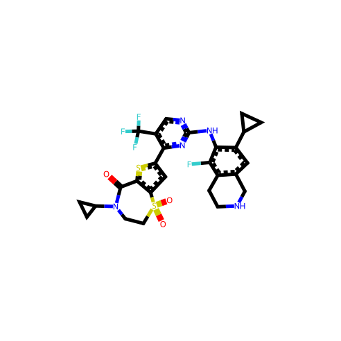 O=C1c2sc(-c3nc(Nc4c(C5CC5)cc5c(c4F)CCNC5)ncc3C(F)(F)F)cc2S(=O)(=O)CCN1C1CC1